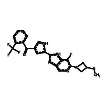 COC1CN(c2ncc3nc(-c4cc(C(=O)c5ccccc5C(F)(F)F)c[nH]4)[nH]c3c2F)C1